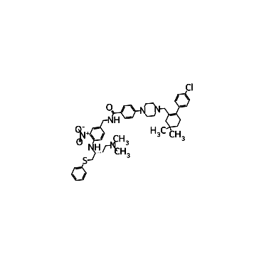 CN(C)CC[C@H](CSc1ccccc1)Nc1ccc(CNC(=O)c2ccc(N3CCN(CC4=C(c5ccc(Cl)cc5)CCC(C)(C)C4)CC3)cc2)cc1[N+](=O)[O-]